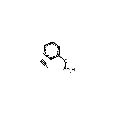 C#N.O=C(O)Oc1ccccc1